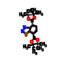 CC1(C)OB(c2ccc(B3OC(C)(C)C(C)(C)O3)c3snnc23)OC1(C)C